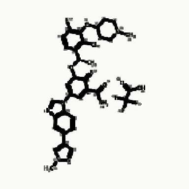 C[C@@H](OC1C=C(n2cnc3cc(-c4cnn(C)c4)ccc32)C=C(C(N)=O)C1=S)c1ccc(F)c(OC2CCN(C)CC2)c1Cl.O=C(O)C(F)(F)F